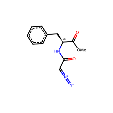 COC(=O)[C@H](Cc1ccccc1)NC(=O)C=[N+]=[N-]